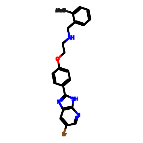 COc1ccccc1CNCCOc1ccc(-c2nc3cc(Br)cnc3[nH]2)cc1